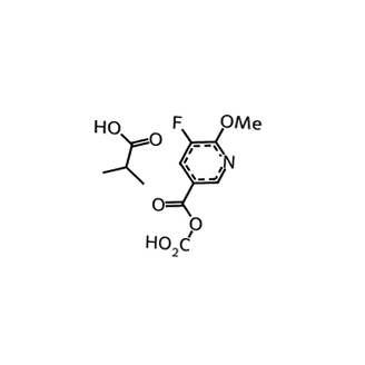 CC(C)C(=O)O.COc1ncc(C(=O)OC(=O)O)cc1F